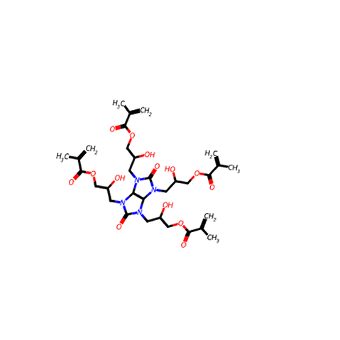 C=C(C)C(=O)OCC(O)CN1C(=O)N(CC(O)COC(=O)C(=C)C)C2C1N(CC(O)COC(=O)C(=C)C)C(=O)N2CC(O)COC(=O)C(=C)C